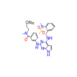 COCCN(C)C(=O)c1cccc(Nc2nc(NCc3ccccc3N(C)S(C)(=O)=O)c3cc[nH]c3n2)c1